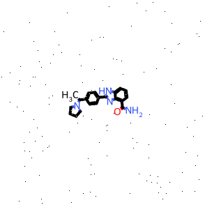 CC(c1ccc(-c2nc3c(C(N)=O)cccc3[nH]2)cc1)N1CCCC1